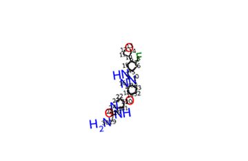 Cn1c(Nc2ccc(F)c(C3CCOC3)c2)nc2cc(Oc3ccnc(NC(=O)CN)c3)ccc21